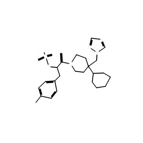 CCCS(=O)(=O)NC(Cc1ccc(Cl)cc1)C(=O)N1CCC(Cn2cncn2)(C2CCCCC2)CC1